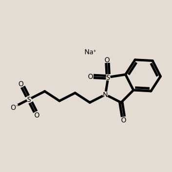 O=C1c2ccccc2S(=O)(=O)N1CCCCS(=O)(=O)[O-].[Na+]